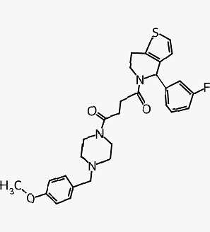 COc1ccc(CN2CCN(C(=O)CCC(=O)N3CCc4sccc4C3c3cccc(F)c3)CC2)cc1